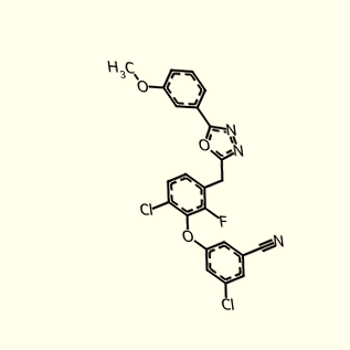 COc1cccc(-c2nnc(Cc3ccc(Cl)c(Oc4cc(Cl)cc(C#N)c4)c3F)o2)c1